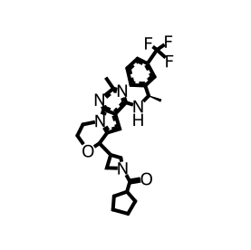 Cc1nc(N[C@H](C)c2cccc(C(F)(F)F)c2)c2cc3n(c2n1)CCOC3C1CN(C(=O)C2CCCC2)C1